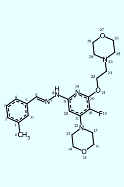 Cc1cccc(C=NNc2cc(N3CCOCC3)c(F)c(OCCN3CCOCC3)n2)c1